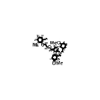 COc1cccc(CN(Cc2cccc(OC)c2)c2nc(COCCOc3c(C)cccc3C#N)cs2)c1